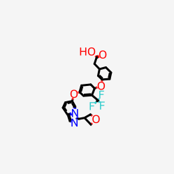 O=C(O)CC1C=C(OC2CC=C(Oc3ccc4cnc(C5COC5)n4c3)C=C2C(F)(F)F)C=CC1